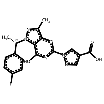 Cc1nn([C@@H](C)c2ccc(F)cc2)c2c(O)nc(-n3cc(C(=O)O)cn3)nc12